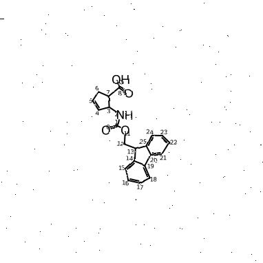 O=C(NC1C=CCC1C(=O)O)OCC1c2ccccc2-c2ccccc21